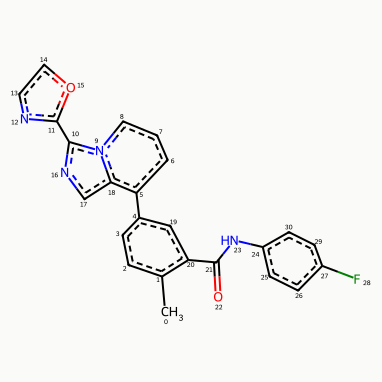 Cc1ccc(-c2cccn3c(-c4ncco4)ncc23)cc1C(=O)Nc1ccc(F)cc1